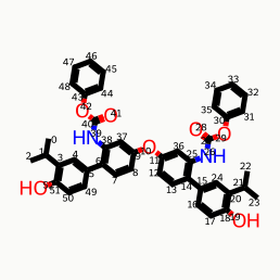 CC(C)c1cc(-c2ccc(Oc3ccc(-c4ccc(O)c(C(C)C)c4)c(NC(=O)Oc4ccccc4)c3)cc2NC(=O)Oc2ccccc2)ccc1O